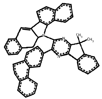 CC1(C)c2ccccc2-c2nc(-c3ccc4ccc5ccccc5c4c3)c(N3c4c(ccc5ccccc45)C4=Cc5ccccc5CC43)nc21